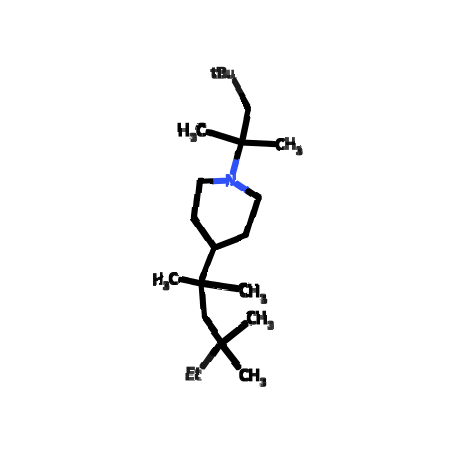 CCC(C)(C)CC(C)(C)C1CCN(C(C)(C)CC(C)(C)C)CC1